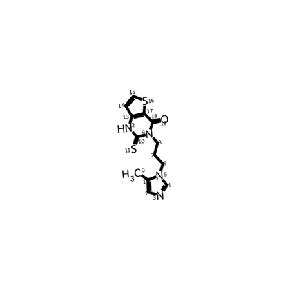 Cc1cncn1CCCn1c(=S)[nH]c2ccsc2c1=O